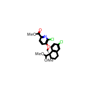 COC(=O)c1ccc(OC[C@@]2(C(OC)OC)CCCc3cc(Cl)ccc32)c(Cl)n1